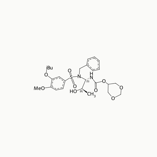 CCC(C)Oc1cc(S(=O)(=O)N(Cc2ccccc2)[C@H](NC(=O)OC2COCOC2)[C@@H](C)O)ccc1OC